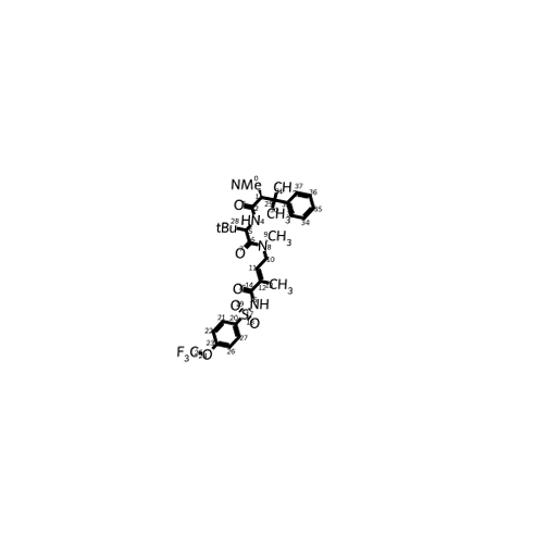 CN[C@H](C(=O)NC(C(=O)N(C)C/C=C(\C)C(=O)NS(=O)(=O)c1ccc(OC(F)(F)F)cc1)C(C)(C)C)C(C)(C)c1ccccc1